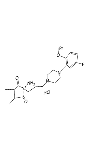 CC(C)Oc1ccc(F)cc1N1CCN(CCC[N+]2(N)C(=O)C(C)C(C)C2=O)CC1.Cl